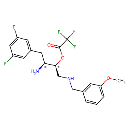 COc1cccc(CNC[C@H](OC(=O)C(F)(F)F)[C@@H](N)Cc2cc(F)cc(F)c2)c1